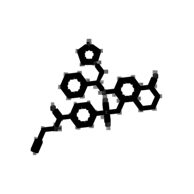 C#CCNC(=O)c1ccc(S(=O)(=O)Cc2c(O[C@H](Cn3ccnc3)c3ccccc3)ccc3c2CCCC3=O)cc1